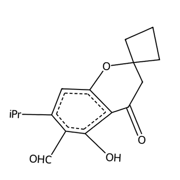 CC(C)c1cc2c(c(O)c1C=O)C(=O)CC1(CCC1)O2